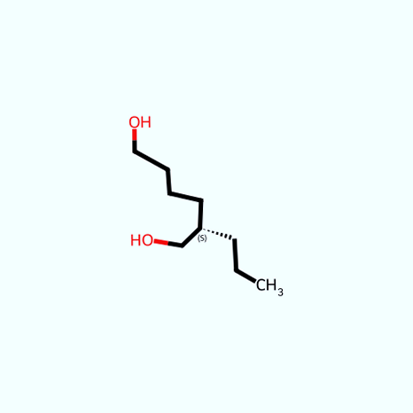 CCC[C@H](CO)CCCCO